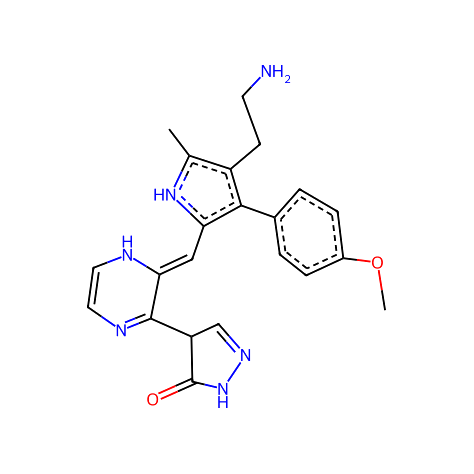 COc1ccc(-c2c(C=C3NC=CN=C3C3C=NNC3=O)[nH]c(C)c2CCN)cc1